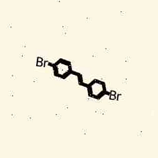 BrC1=CC=C(C=Cc2ccc(Br)cc2)CC1